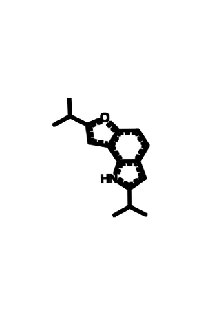 CC(C)c1cc2ccc3oc(C(C)C)cc3c2[nH]1